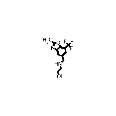 Cc1nc2cc(CNCCO)cc(C(F)(F)F)c2o1